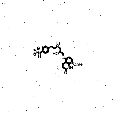 CCN(CCc1ccc(NS(C)(=O)=O)cc1)CC(O)COc1ccc(OC)c2c1CCC(=O)N2